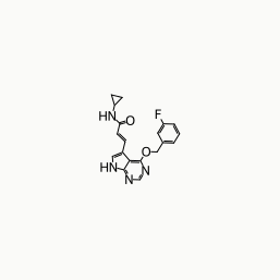 O=C(C=Cc1c[nH]c2ncnc(OCc3cccc(F)c3)c12)NC1CC1